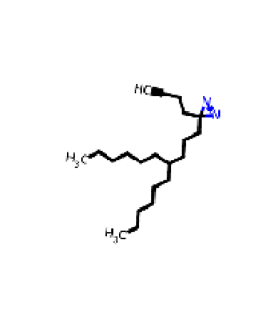 C#CCCC1(CCCC(CCCCCC)CCCCCC)N=N1